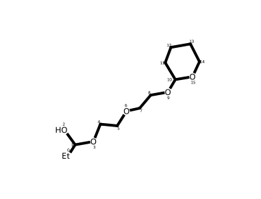 CCC(O)OCCOCCOC1CCCCO1